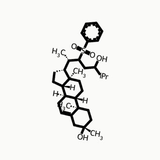 CC(C)C(O)CC([C@@H](C)[C@H]1CC[C@H]2[C@@H]3CC=C4C[C@@](C)(O)CC[C@]4(C)[C@H]3CC[C@]12C)S(=O)(=O)c1ccccc1